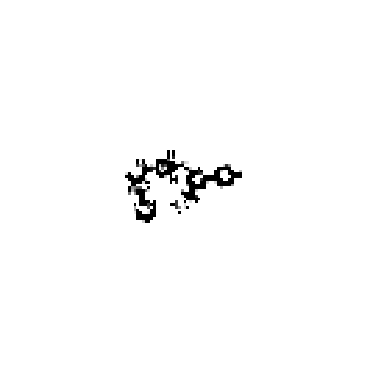 Cc1nc(-c2ncccn2)sc1C(=O)N1C[C@@H]2[C@H](C1)[C@@H]2Oc1cc(C(C)(C)N)cc(C2=CCC(C)CC2)n1